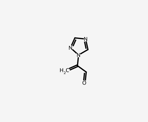 C=C(C=O)n1cncn1